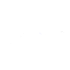 COC(=O)CS(=O)(=O)N1CCC(c2ccc(Br)c(C)c2)CC1